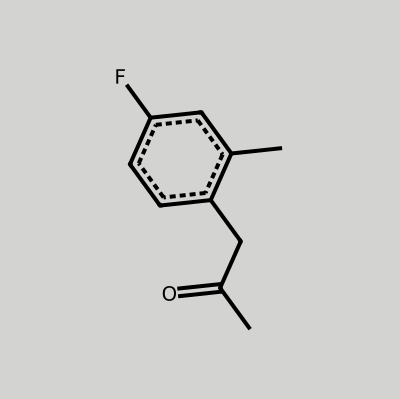 CC(=O)Cc1ccc(F)cc1C